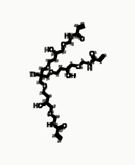 C=CC(=O)NCOCC(O)CCOCC(CC)(COCCC(O)COCNC(=O)C=C)COCCC(O)COCNC(=O)C=C